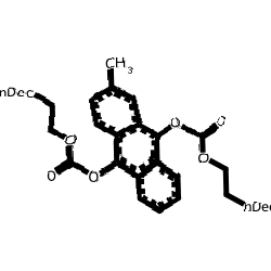 CCCCCCCCCCCCOC(=O)Oc1c2ccccc2c(OC(=O)OCCCCCCCCCCCC)c2cc(C)ccc12